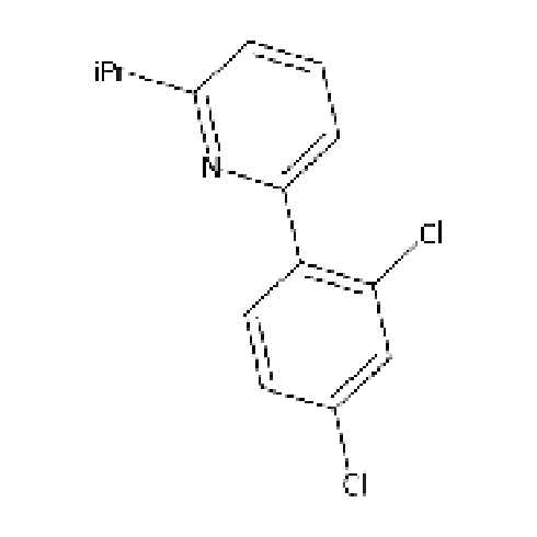 CC(C)c1cccc(-c2ccc(Cl)cc2Cl)n1